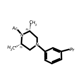 CC(=O)N1[C@H](C)CN(c2cccc(C(C)C)c2)C[C@@H]1C